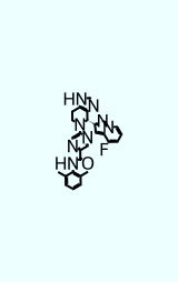 Cc1cccc(C)c1NC(=O)c1cnc(N2CCc3[nH]cnc3[C@@H]2c2cc3c(F)cccn3n2)cn1